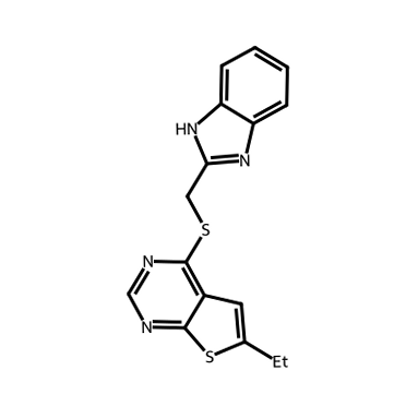 CCc1cc2c(SCc3nc4ccccc4[nH]3)ncnc2s1